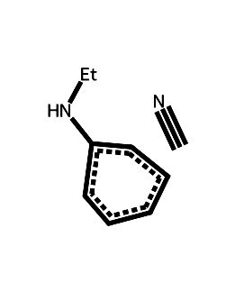 C#N.CCNc1ccccc1